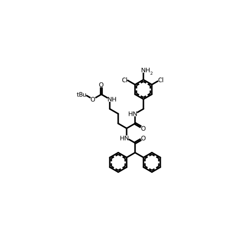 CC(C)(C)OC(=O)NCCCC(NC(=O)C(c1ccccc1)c1ccccc1)C(=O)NCc1cc(Cl)c(N)c(Cl)c1